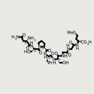 CSCC[C@H](NC(=O)CNC(=O)CNC(=O)[C@H](CO)NC(=O)[C@H](CC(C)C)NC(=O)[C@@H]1CCCN1C(=O)[C@H](CO)NC(=O)[C@@H](N)CC(N)=O)C(=O)O